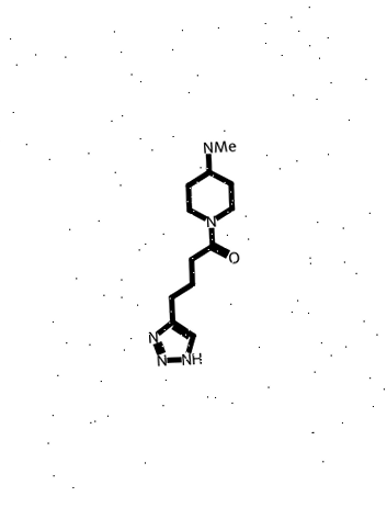 CNC1CCN(C(=O)CCCc2c[nH]nn2)CC1